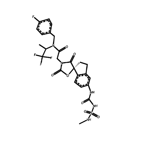 CNS(=O)(=O)NC(=O)Nc1ccc2c(c1)CC[C@@]21OC(=O)N(CC(=O)N(Cc2ccc(F)cc2)C(C)C(F)(F)F)C1=O